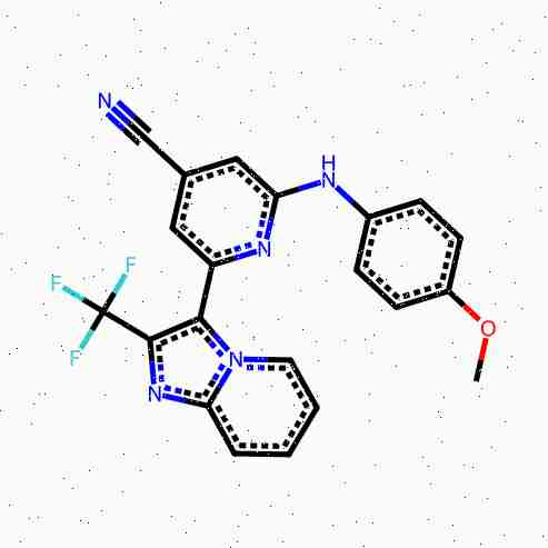 COc1ccc(Nc2cc(C#N)cc(-c3c(C(F)(F)F)nc4ccccn34)n2)cc1